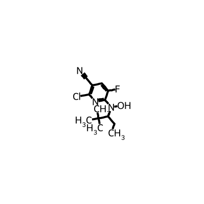 CCC(N(O)c1nc(Cl)c(C#N)cc1F)C(C)(C)C